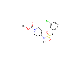 CCN(C1CCN(C(=O)OC(C)(C)C)CC1)S(=O)(=O)Cc1cccc(Cl)c1